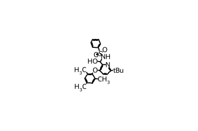 Cc1cc(C)c(Oc2ccc(C(C)(C)C)nc2C(O)NS(=O)(=O)c2ccccc2)c(C)c1